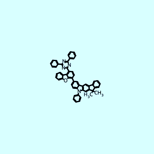 CC1(C)c2ccccc2-c2cc3c4cc(-c5ccc(-c6nc(-c7ccccc7)nc(-c7ccccc7)n6)c6c5oc5ccccc56)ccc4n(-c4ccccc4)c3cc21